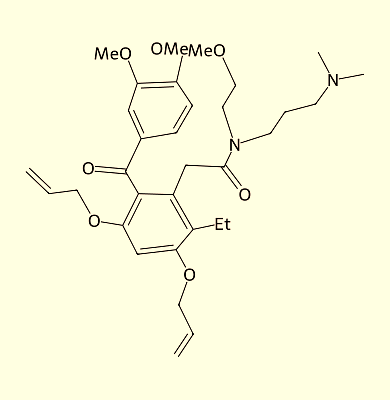 C=CCOc1cc(OCC=C)c(C(=O)c2ccc(OC)c(OC)c2)c(CC(=O)N(CCCN(C)C)CCOC)c1CC